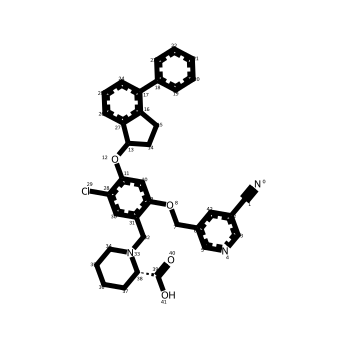 N#Cc1cncc(COc2cc(OC3CCc4c(-c5ccccc5)cccc43)c(Cl)cc2CN2CCCC[C@H]2C(=O)O)c1